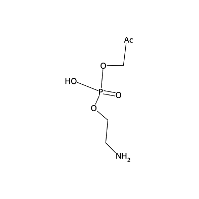 CC(=O)COP(=O)(O)OCCN